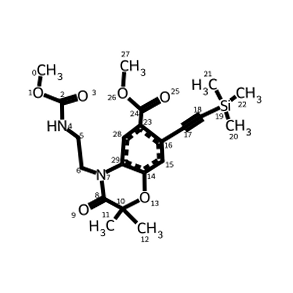 COC(=O)NCCN1C(=O)C(C)(C)Oc2cc(C#C[Si](C)(C)C)c(C(=O)OC)cc21